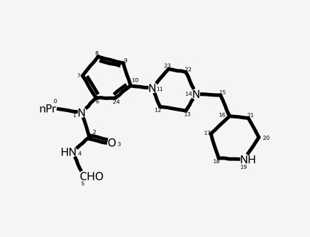 CCCN(C(=O)NC=O)c1cccc(N2CCN(CC3CCNCC3)CC2)c1